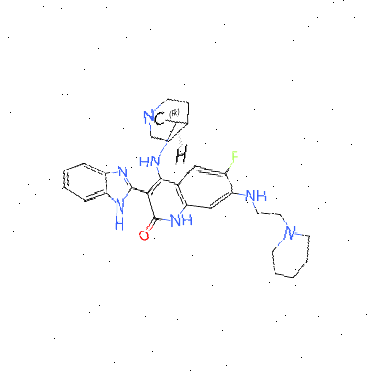 O=c1[nH]c2cc(NCCN3CCCCC3)c(F)cc2c(N[C@H]2CN3CCC2CC3)c1-c1nc2ccccc2[nH]1